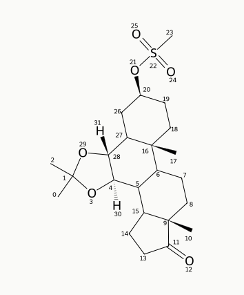 CC1(C)O[C@@H]2C3C(CC[C@]4(C)C(=O)CCC34)[C@@]3(C)CC[C@H](OS(C)(=O)=O)CC3[C@H]2O1